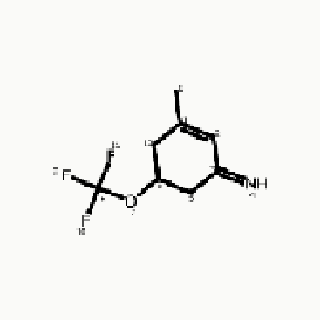 CC1=CC(=N)CC(OC(F)(F)F)C1